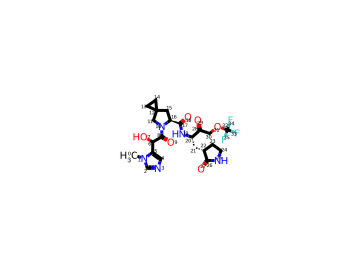 Cn1cncc1C(O)C(=O)N1CC2(CC2)C[C@H]1C(=O)N[C@@H](C[C@@H]1CCNC1=O)C(=O)COC(F)(F)F